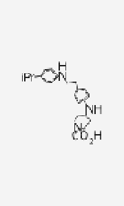 CC(C)c1ccc(NCCc2ccc(NC3CCN(C(=O)O)CC3)cc2)cc1